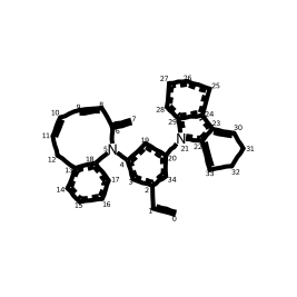 C=Cc1cc(N2C(=C)/C=C\C=C/Cc3ccccc32)cc(-n2c3c(c4ccccc42)=CCCC=3)c1